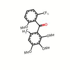 COc1cc(C)c(C(=O)c2c(OC)cccc2C(F)(F)F)c(OC)c1OC